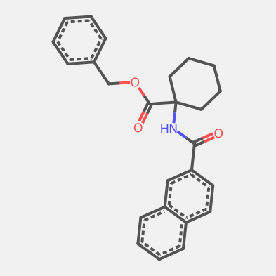 O=C(NC1(C(=O)OCc2ccccc2)CCCCC1)c1ccc2ccccc2c1